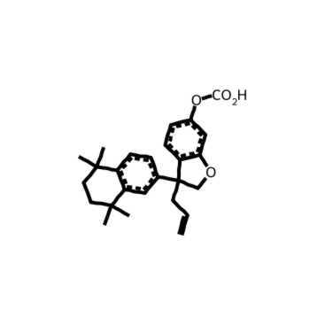 C=CCC1(c2ccc3c(c2)C(C)(C)CCC3(C)C)COc2cc(OC(=O)O)ccc21